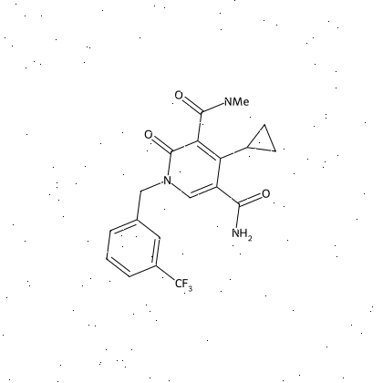 CNC(=O)c1c(C2CC2)c(C(N)=O)cn(Cc2cccc(C(F)(F)F)c2)c1=O